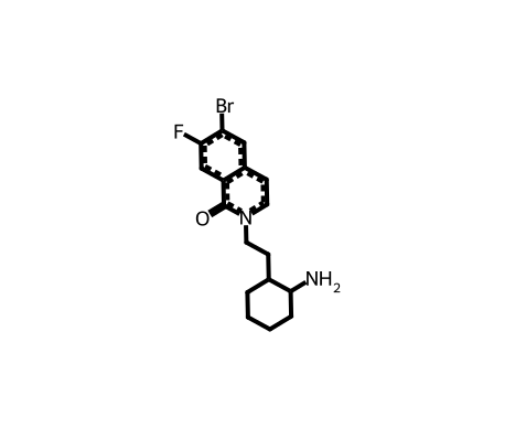 NC1CCCCC1CCn1ccc2cc(Br)c(F)cc2c1=O